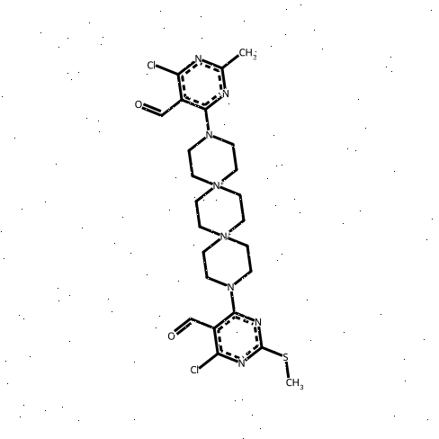 CSc1nc(Cl)c(C=O)c(N2CC[N+]3(CC2)CC[N+]2(CCN(c4nc(C)nc(Cl)c4C=O)CC2)CC3)n1